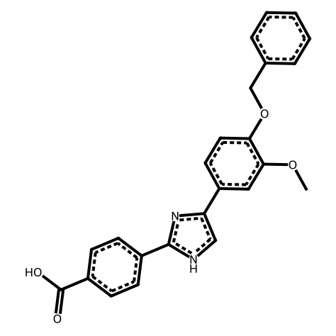 COc1cc(-c2c[nH]c(-c3ccc(C(=O)O)cc3)n2)ccc1OCc1ccccc1